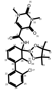 Cn1cc(C(=O)NC2(B3OC(C)(C)C(C)(C)O3)C=CC=C(c3ccccc3Cl)C2Cl)c(=O)n(C)c1=O